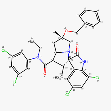 CC(C)(C)CN(C(=O)C1C2C[C@](C)(OCc3ccccc3)CN2[C@]2(C(=O)Nc3c(Cl)cc(Cl)cc32)C1C(=O)O)c1cc(Cl)cc(Cl)c1